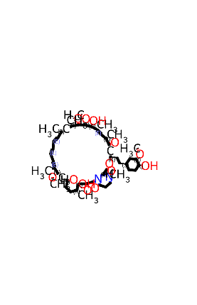 CO[C@H]1C[C@@H]2CC[C@@H](C)[C@@](O)(O2)C(=O)C(=O)N2CCCN(C)[C@H]2C(=O)O[C@H](CC[C@@H]2CC[C@@H](O)[C@H](OC)C2)CC(=O)[C@H](C)/C=C(\C)[C@@H](O)[C@@H](OC)C(=O)[C@H](C)C[C@H](C)/C=C/C=C/C=C/1C